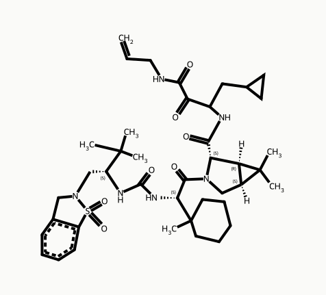 C=CCNC(=O)C(=O)C(CC1CC1)NC(=O)[C@@H]1[C@@H]2[C@H](CN1C(=O)[C@@H](NC(=O)N[C@H](CN1Cc3ccccc3S1(=O)=O)C(C)(C)C)C1(C)CCCCC1)C2(C)C